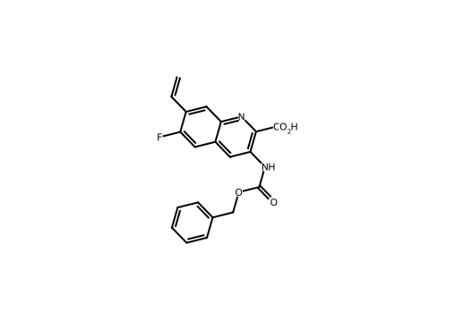 C=Cc1cc2nc(C(=O)O)c(NC(=O)OCc3ccccc3)cc2cc1F